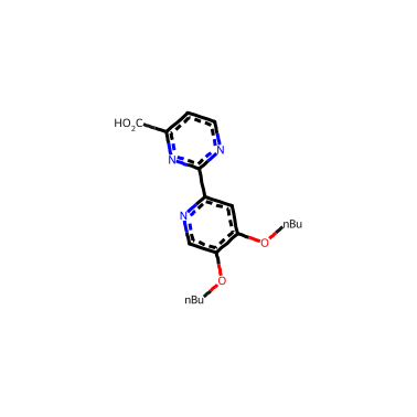 CCCCOc1cnc(-c2nccc(C(=O)O)n2)cc1OCCCC